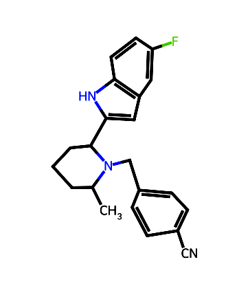 CC1CCCC(c2cc3cc(F)ccc3[nH]2)N1Cc1ccc(C#N)cc1